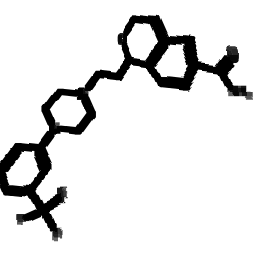 NC(=O)c1ccc2c(c1)CCOC2CCN1CCN(c2cccc(C(F)(F)F)c2)CC1